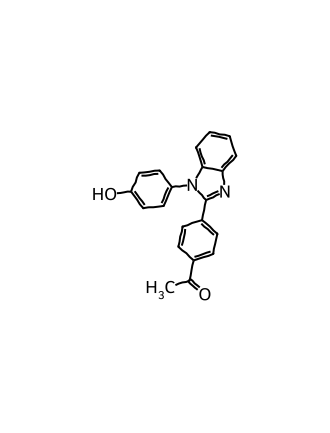 CC(=O)c1ccc(-c2nc3ccccc3n2-c2ccc(O)cc2)cc1